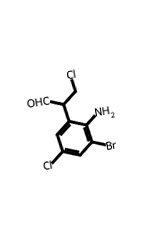 Nc1c(Br)cc(Cl)cc1C(C=O)CCl